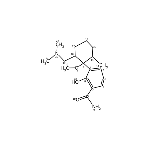 COC1(c2cccc(C(N)=O)c2O)C(C)CCCC1CN(C)C